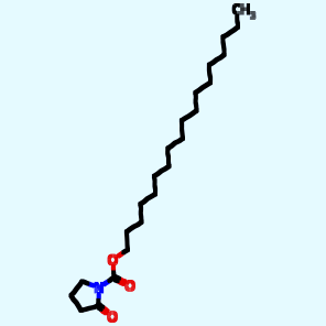 CCCCCCCCCCCCCCCCCCOC(=O)N1CCCC1=O